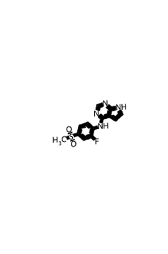 CS(=O)(=O)c1ccc(Nc2ncnc3[nH]ccc23)c(F)c1